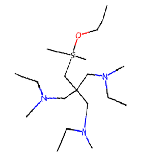 CCO[Si](C)(C)CC(CN(C)CC)(CN(C)CC)CN(C)CC